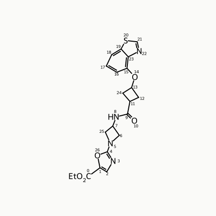 CCOC(=O)c1cnc(N2CC(NC(=O)C3CC(Oc4cccc5scnc45)C3)C2)o1